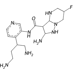 NCCC(CN)c1ccncc1NC(=O)C1C(N)NN2CC(F)CNC12